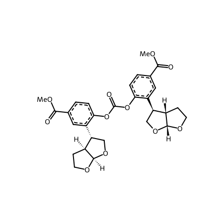 COC(=O)c1ccc(OC(=O)Oc2ccc(C(=O)OC)cc2[C@@H]2CO[C@H]3OCC[C@H]32)c([C@@H]2CO[C@H]3OCC[C@H]32)c1